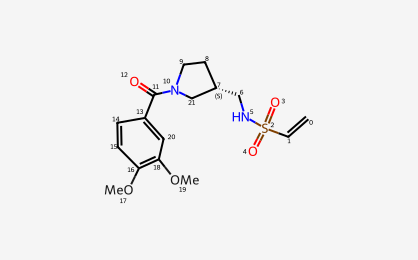 C=CS(=O)(=O)NC[C@H]1CCN(C(=O)c2ccc(OC)c(OC)c2)C1